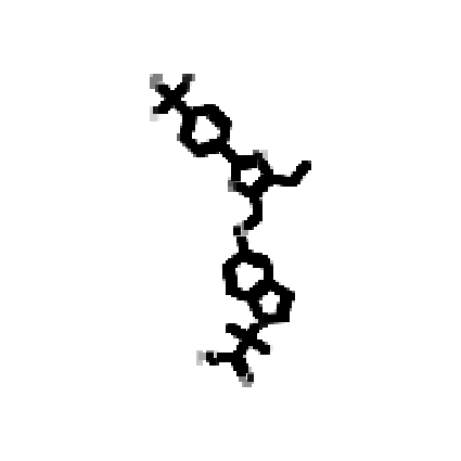 CCc1nc(-c2ccc(C(F)(F)F)cc2)sc1COc1ccc2c(ccn2C(C)(C)C(=O)O)c1